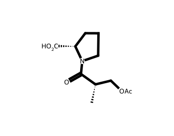 CC(=O)OC[C@H](C)C(=O)N1CCC[C@H]1C(=O)O